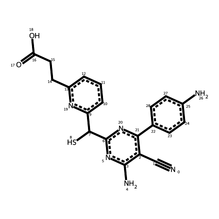 N#Cc1c(N)nc(C(S)c2cccc(CCC(=O)O)n2)nc1-c1ccc(N)cc1